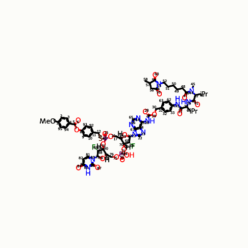 COc1ccc(C(=O)Oc2ccc(CSP3(=O)OC[C@H]4O[C@@H](n5cnc6c(NC(=O)OCc7ccc(NC(=O)C(NC(=O)C(C(C)C)N(C)C(=O)CCCCCN8C(=O)CC(C)C8=O)C(C)C)cc7)ncnc65)[C@H](F)[C@@H]4OP(=O)(O)OC[C@H]4O[C@@H](n5ccc(=O)[nH]c5=O)[C@H](F)[C@@H]4O3)cc2)cc1